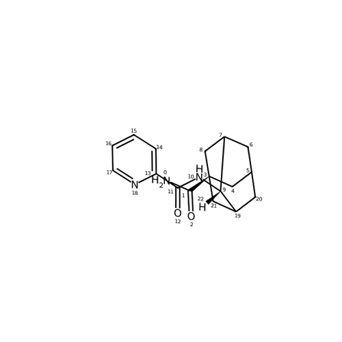 NC(=O)[C@]12CC3CC(C1)[C@@H](NC(=O)c1ccccn1)C(C3)C2